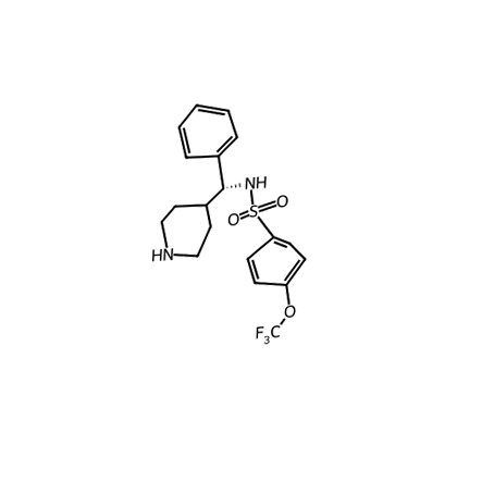 O=S(=O)(N[C@@H](c1ccccc1)C1CCNCC1)c1ccc(OC(F)(F)F)cc1